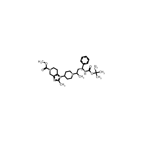 COC(=O)N1CCc2c(nc(C)n2C2CCN(C(C)C[C@H](NC(=O)OC(C)(C)C)c3ccccc3)CC2)C1